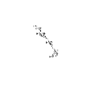 CC(C)(CC(=O)O)CC(C)(C)CC(=O)NCCOCCOCC(=O)NCCOCCOCC(=O)NC(CCCCNC(=O)CO)C(=O)O